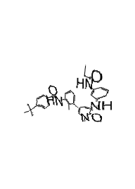 CCC(=O)Nc1cccc(Nc2cc(-c3cccc(NC(=O)c4ccc(C(C)(C)C)cc4)c3C)cn(C)c2=O)c1